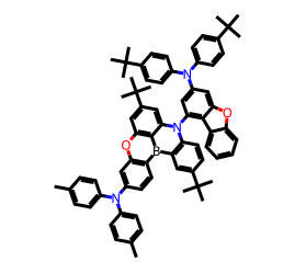 Cc1ccc(N(c2ccc(C)cc2)c2ccc3c(c2)Oc2cc(C(C)(C)C)cc4c2B3c2cc(C(C)(C)C)ccc2N4c2cc(N(c3ccc(C(C)(C)C)cc3)c3ccc(C(C)(C)C)cc3)cc3oc4ccccc4c23)cc1